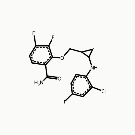 NC(=O)c1ccc(F)c(F)c1OCC1CC1Nc1ccc(I)cc1Cl